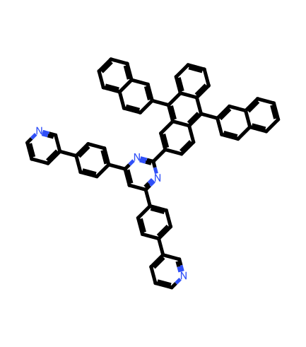 c1cncc(-c2ccc(-c3cc(-c4ccc(-c5cccnc5)cc4)nc(-c4ccc5c(-c6ccc7ccccc7c6)c6ccccc6c(-c6ccc7ccccc7c6)c5c4)n3)cc2)c1